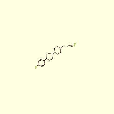 FC=CCCC1CCC(C2CCC(c3ccc(F)cc3)CC2)CC1